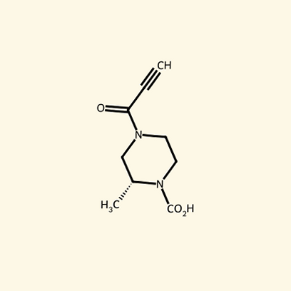 C#CC(=O)N1CCN(C(=O)O)[C@H](C)C1